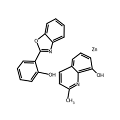 Cc1ccc2cccc(O)c2n1.Oc1ccccc1-c1nc2ccccc2o1.[Zn]